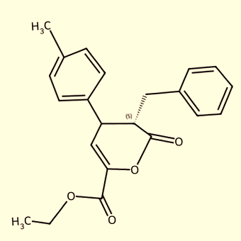 CCOC(=O)C1=CC(c2ccc(C)cc2)[C@H](Cc2ccccc2)C(=O)O1